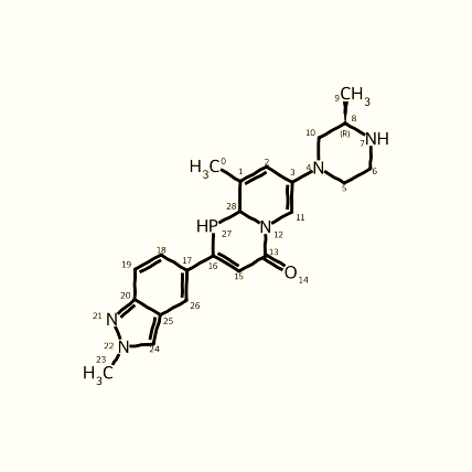 CC1=CC(N2CCN[C@H](C)C2)=CN2C(=O)C=C(c3ccc4nn(C)cc4c3)PC12